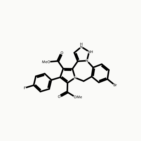 COC(=O)c1c(-c2ccc(F)cc2)c(C(=O)OC)n2c1C1=CNNN1c1ccc(Br)cc1C2